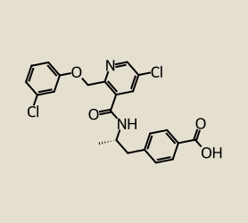 C[C@@H](Cc1ccc(C(=O)O)cc1)NC(=O)c1cc(Cl)cnc1COc1cccc(Cl)c1